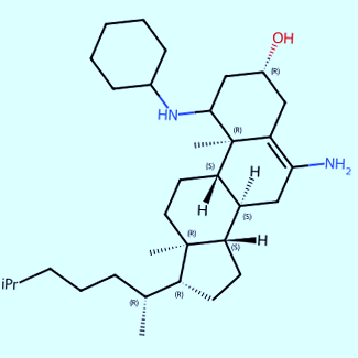 CC(C)CCC[C@@H](C)[C@H]1CC[C@H]2[C@@H]3CC(N)=C4C[C@@H](O)CC(NC5CCCCC5)[C@]4(C)[C@H]3CC[C@]12C